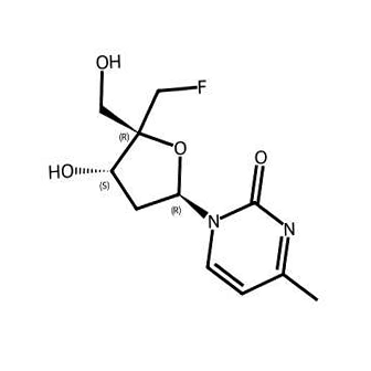 Cc1ccn([C@H]2C[C@H](O)[C@](CO)(CF)O2)c(=O)n1